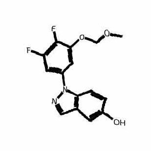 COCOc1cc(-n2ncc3cc(O)ccc32)cc(F)c1F